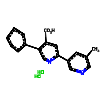 Cc1cncc(-c2cc(C(=O)O)c(-c3ccccc3)cn2)c1.Cl.Cl